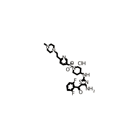 CN1CCN(CCc2ccc(S(=O)(=O)N3CCC(Nc4nc(N)c(C(=O)c5c(F)cccc5F)s4)CC3)cn2)CC1.Cl